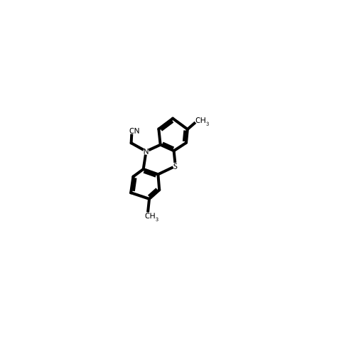 Cc1ccc2c(c1)Sc1cc(C)ccc1N2CC#N